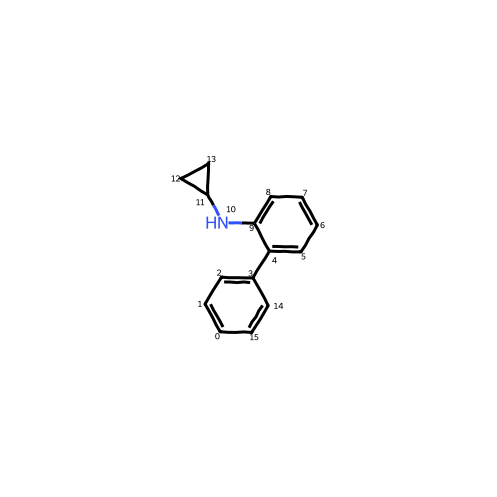 c1ccc(-c2ccccc2NC2CC2)cc1